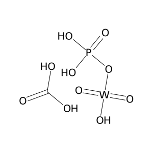 O=C(O)O.O=P(O)(O)[O][W](=[O])(=[O])[OH]